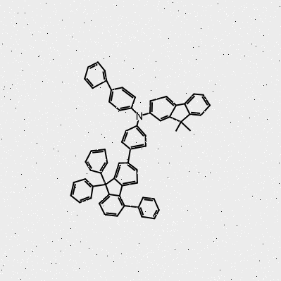 CC1(C)c2ccccc2-c2ccc(N(c3ccc(-c4ccccc4)cc3)c3ccc(-c4ccc5c(c4)C(c4ccccc4)(c4ccccc4)c4cccc(-c6ccccc6)c4-5)cc3)cc21